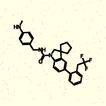 CNc1ccc(CNC(=O)N2CC3(CCCC3)c3cc(-c4ccccc4CC(F)(F)F)ccc32)cc1